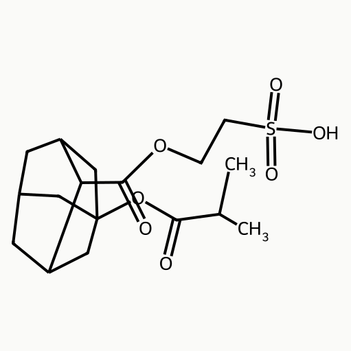 CC(C)C(=O)OC12CC3CC(C1)C(C(=O)OCCS(=O)(=O)O)C(C3)C2